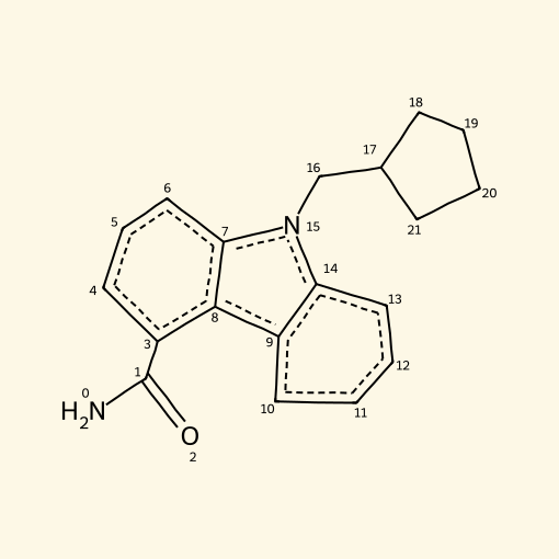 NC(=O)c1cccc2c1c1ccccc1n2CC1CCCC1